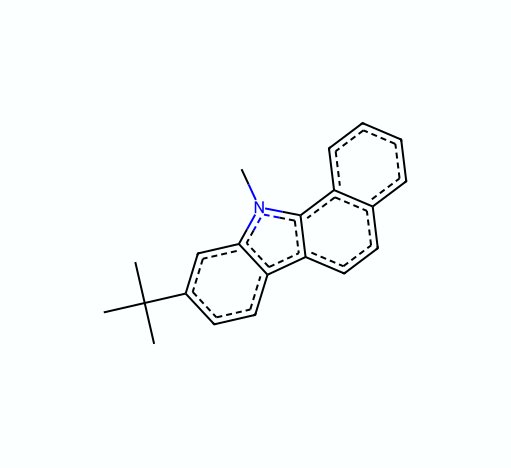 Cn1c2cc(C(C)(C)C)ccc2c2ccc3ccccc3c21